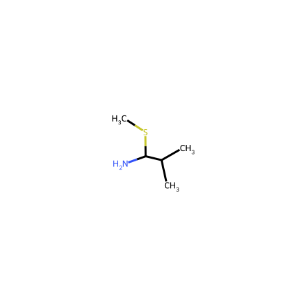 CSC(N)C(C)C